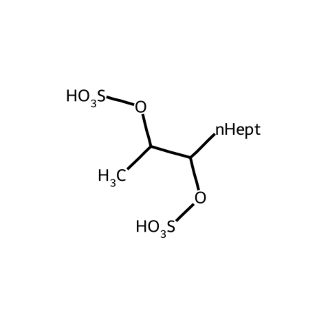 CCCCCCCC(OS(=O)(=O)O)C(C)OS(=O)(=O)O